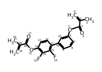 C=C(C)C(=O)Oc1cccc(-c2ccc(OC(=O)C(=C)C)c(F)c2F)c1